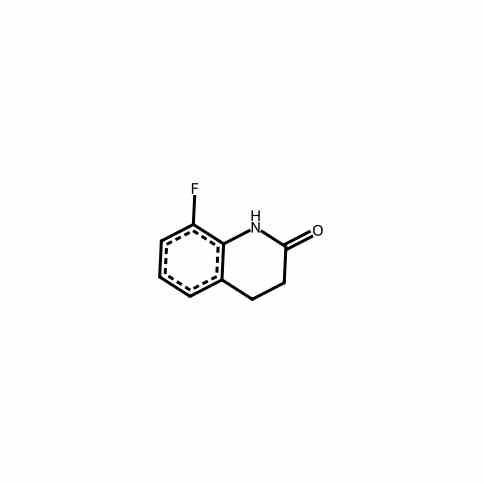 O=C1CCc2cccc(F)c2N1